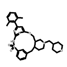 Cc1cccc(C)c1-c1cc2nc(n1)NS(=O)(=O)c1cccc(c1)CC1CCN(CC3CCOCC3)CC1CO2